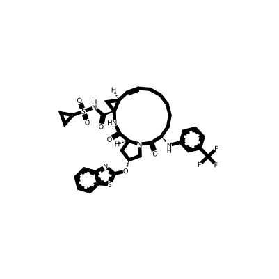 O=C1N[C@]2(C(=O)NS(=O)(=O)C3CC3)C[C@H]2/C=C\CCCCC[C@H](Nc2cccc(C(F)(F)F)c2)C(=O)N2C[C@H](Oc3nc4ccccc4s3)C[C@@H]12